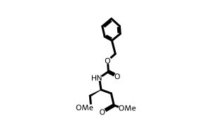 COC[C@H](CC(=O)OC)NC(=O)OCc1ccccc1